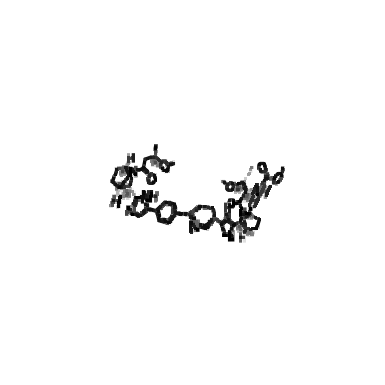 COC(=O)N[C@H](C(=O)N1[C@@H]2CC[C@@H](C2)[C@H]1c1ncc(-c2ccc(-c3ccc(-c4cnc([C@@H]5[C@H]6CC[C@H](C6)N5C(=O)C[C@@H](C)OC)[nH]4)cc3)nc2)[nH]1)[C@@H](C)OC